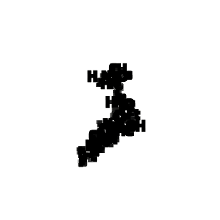 CCc1cc(Nc2nccn3c(-c4cn(CC(F)F)nc4C(F)(F)F)cnc23)ccc1C(=O)NCCCNC(=O)C(C)N.O=CO